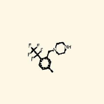 Cc1ccc(C(F)(F)C(F)(F)F)c(CN2CCNCC2)c1